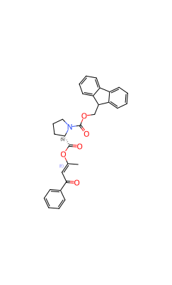 C/C(=C\C(=O)c1ccccc1)OC(=O)[C@@H]1CCCN1C(=O)OCC1c2ccccc2-c2ccccc21